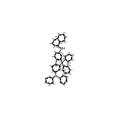 c1ccc(N(c2ccccc2)c2ccc3c(c2)C2(c4ccccc4-c4ccccc42)c2cc(Nc4cccc5ccccc45)ccc2-3)cc1